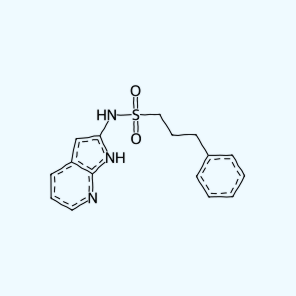 O=S(=O)(CCCc1ccccc1)Nc1cc2cccnc2[nH]1